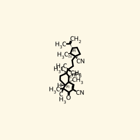 C=C(C)[C@@H]1CC[C@](C#N)(CCC(C)(C)[C@]2(C)CC[C@H]3C(C)(C)C(=O)C(C#N)=C[C@]3(C)[C@H]2CCC)[C@H]1C